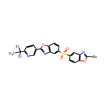 CCC(C)c1nc2cc(S(=O)(=O)c3ccc4oc(-c5ccc(C(C)(CC)CC)nc5)nc4c3)ccc2o1